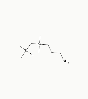 C[Si](C)(C)C[Si](C)(C)CCCN